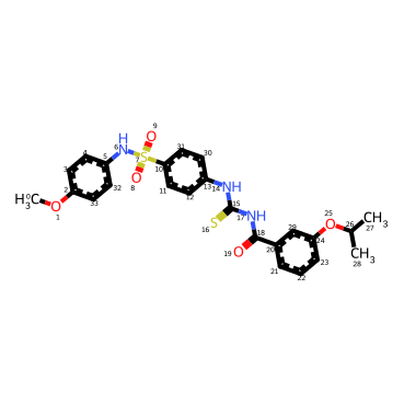 COc1ccc(NS(=O)(=O)c2ccc(NC(=S)NC(=O)c3cccc(OC(C)C)c3)cc2)cc1